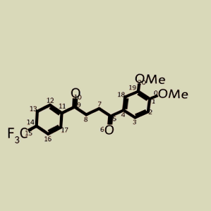 COc1ccc(C(=O)CCC(=O)C2=CCC(C(F)(F)F)C=C2)cc1OC